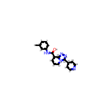 Cc1cccc(NC(=O)c2cccn3c(-c4ccncc4)nnc23)c1